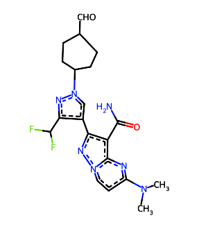 CN(C)c1ccn2nc(-c3cn(C4CCC(C=O)CC4)nc3C(F)F)c(C(N)=O)c2n1